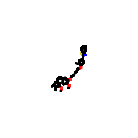 COc1ccc(/C=C\c2cc(C)c(C)c(OC)c2)cc1OCCCCCOc1ccc(-c2nc3ccccc3s2)cc1C